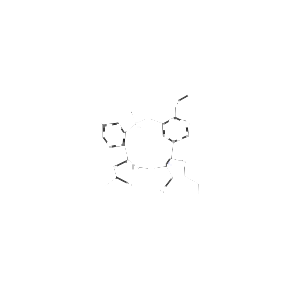 C=Nc1ncc2cc1O[C@H](C)c1cc(F)ccc1/C(=C/C(C)=N)NC/C(C=N)=C\2NCCF